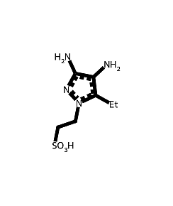 CCc1c(N)c(N)nn1CCS(=O)(=O)O